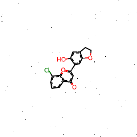 O=c1cc(-c2cc3c(cc2O)CCO3)oc2c(Cl)cccc12